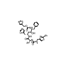 CC(C)c1nc(CN(C)C(=O)N[C@H](C(=O)N[C@H](Cc2cnco2)C[C@H](O)[C@H](Cc2ccccc2)NC(=O)OCc2cncs2)C(C)C)cs1